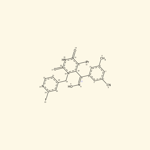 Cc1cc(C#N)cc(/C(=N/O)c2c(C(C)C)c(=O)[nH]c(=O)n2Cc2ccnc(F)c2)c1